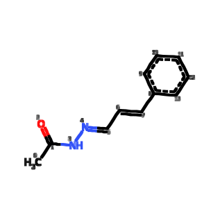 CC(=O)NN=C/C=C/c1ccccc1